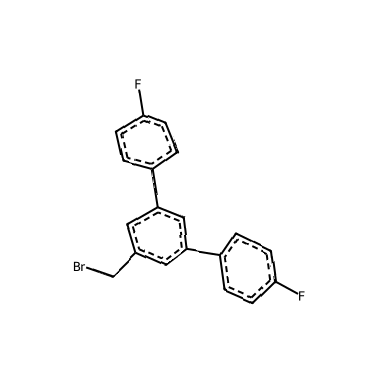 Fc1ccc(-c2cc(CBr)cc(-c3ccc(F)cc3)c2)cc1